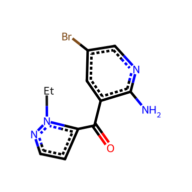 CCn1nccc1C(=O)c1cc(Br)cnc1N